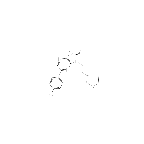 O=c1[nH]c2ncc(-c3ccc(O)cc3)nc2n1CCC1CNCCO1